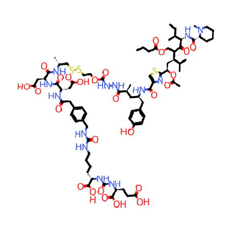 CCCC(=O)OCC(C(=O)[C@@H](NC(=O)[C@H]1CCCCN1C)C(C)CC)[C@H](C[C@@H](OC(C)=O)c1nc(C(=O)N[C@@H](Cc2ccc(O)cc2)C[C@H](C)C(=O)NNC(=O)OCCSSC[C@@H](C)NC(=O)[C@H](CC(=O)O)NC(=O)[C@H](CC(=O)O)NC(=O)Cc2ccc(CNC(=O)NCCCC[C@H](NC(=O)N[C@@H](CCC(=O)O)C(=O)O)C(=O)O)cc2)cs1)C(C)C